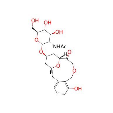 CC(=O)N[C@@H]1C(O[C@@H]2C[C@@H]3Cc4cccc(O)c4CO[CH]C(=O)[C@@H](C2)O3)O[C@@H](CO)[C@H](O)[C@H]1O